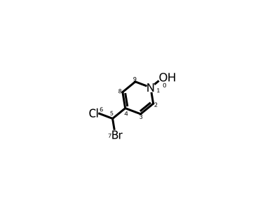 ON1C=CC(C(Cl)Br)=CC1